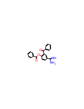 N=C(N)c1ccc(OC(=O)c2ccccc2)c(C(=O)c2ccccc2)c1